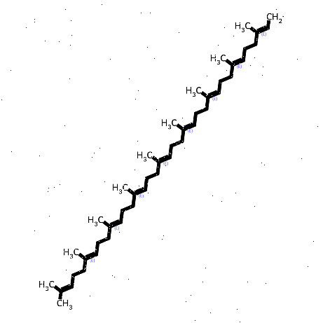 [CH2]/C=C(\C)CC/C=C(\C)CC/C=C(\C)CC/C=C(\C)CC/C=C(\C)CC/C=C(\C)CC/C=C(\C)CC/C=C(\C)CCC=C(C)C